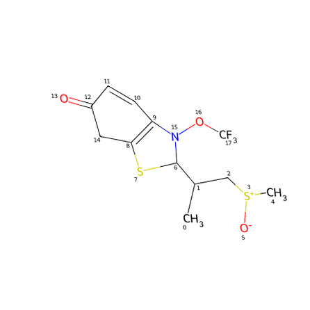 CC(C[S+](C)[O-])C1SC2=C(C=CC(=O)C2)N1OC(F)(F)F